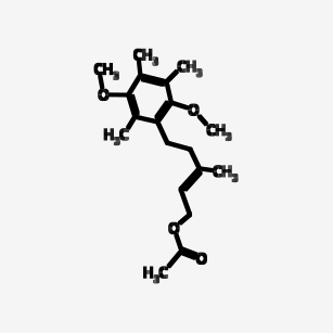 COc1c(C)c(C)c(OC)c(CCC(C)=CCOC(C)=O)c1C